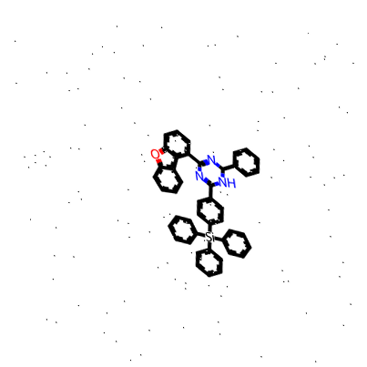 c1ccc(C2N=C(c3cccc4oc5ccccc5c34)N=C(c3ccc([Si](c4ccccc4)(c4ccccc4)c4ccccc4)cc3)N2)cc1